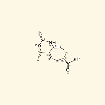 O=C(Cl)[C@@H]1CC=c2[nH]c(=O)oc(=O)c2=CC1